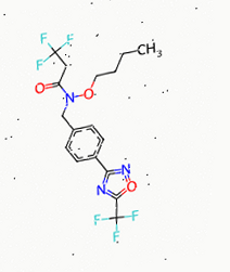 CCCCON(Cc1ccc(-c2noc(C(F)(F)F)n2)cc1)C(=O)CC(F)(F)F